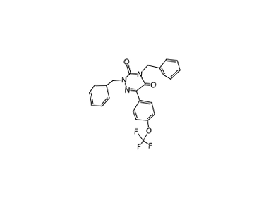 O=c1c(-c2ccc(OC(F)(F)F)cc2)nn(Cc2ccccc2)c(=O)n1Cc1ccccc1